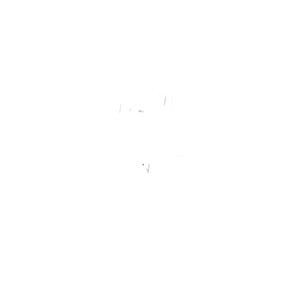 C=C(C)COC(C)N1CCOCC1